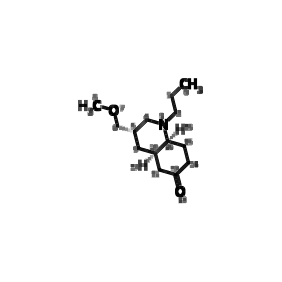 CCCN1C[C@@H](COC)C[C@@H]2CC(=O)CC[C@@H]21